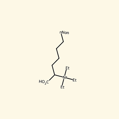 CCCCCCCCCCCCCC(C(=O)O)[N+](CC)(CC)CC